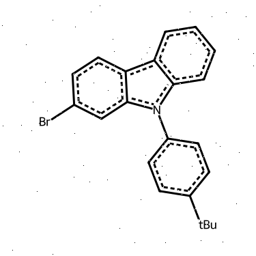 CC(C)(C)c1ccc(-n2c3ccccc3c3ccc(Br)cc32)cc1